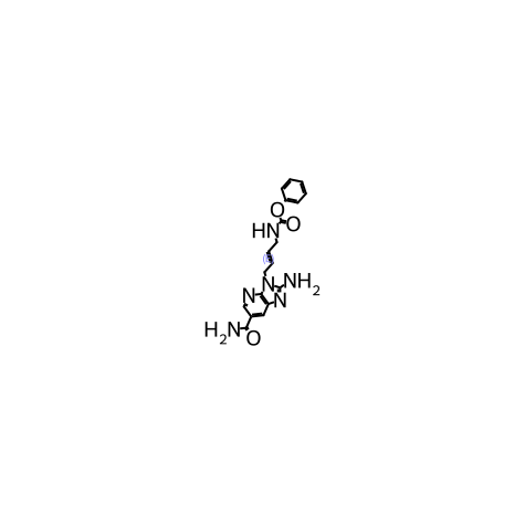 NC(=O)c1cnc2c(c1)nc(N)n2C/C=C/CNC(=O)Oc1ccccc1